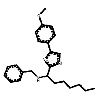 CCCCCCC(NCc1ccccc1)c1nc(-c2ccc(OC)cc2)c[nH]1